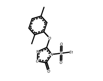 CCS(=O)(=O)n1c(Oc2cc(C)ccc2C)noc1=O